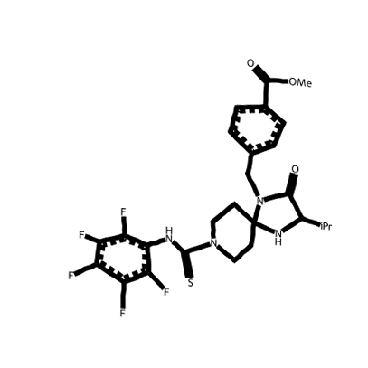 COC(=O)c1ccc(CN2C(=O)C(C(C)C)NC23CCN(C(=S)Nc2c(F)c(F)c(F)c(F)c2F)CC3)cc1